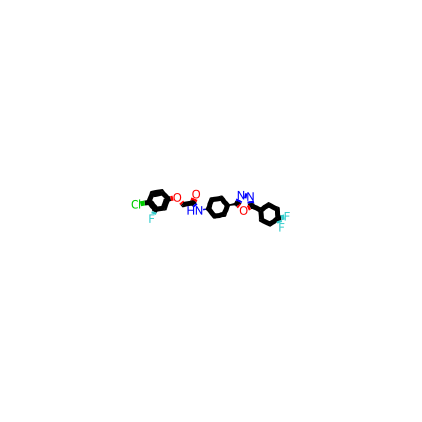 O=C(COc1ccc(Cl)c(F)c1)N[C@H]1CC[C@H](c2nnc(C3CCC(F)(F)CC3)o2)CC1